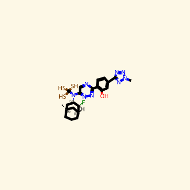 Cn1nnc(-c2ccc(-c3ncc(N([C@H]4C[C@]5(C)CCC[C@@H](C5)[C@H]4F)C(S)(S)S)nn3)c(O)c2)n1